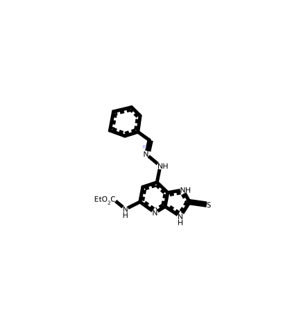 CCOC(=O)Nc1cc(N/N=C/c2ccccc2)c2[nH]c(=S)[nH]c2n1